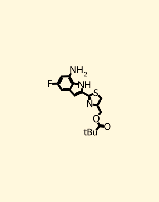 CC(C)(C)C(=O)OCC1CSC(c2cc3cc(F)cc(N)c3[nH]2)=N1